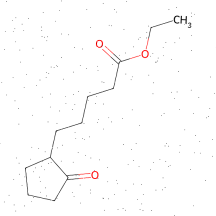 CCOC(=O)CCCCC1CCCC1=O